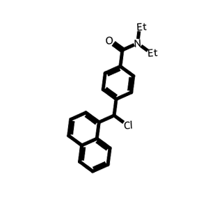 CCN(CC)C(=O)c1ccc(C(Cl)c2cccc3ccccc23)cc1